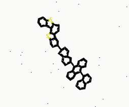 c1ccc2c(-c3c4ccccc4c(-c4ccc5cc(-c6ccc7sc8c(ccc9sc%10ccccc%10c98)c7c6)ccc5c4)c4ccccc34)cccc2c1